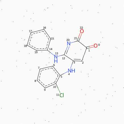 O=C1C=C(Nc2ccccc2Cl)C(Nc2ccccc2)=NC1=O